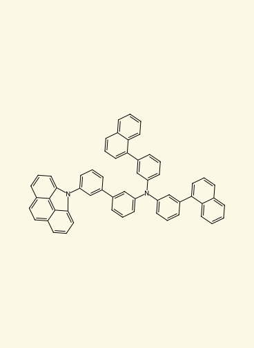 c1cc(-c2cccc(-n3c4cccc5ccc6cccc3c6c54)c2)cc(N(c2cccc(-c3cccc4ccccc34)c2)c2cccc(-c3cccc4ccccc34)c2)c1